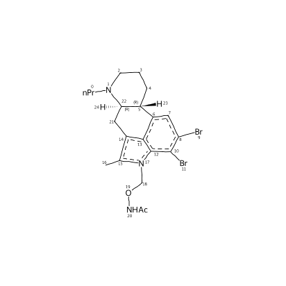 CCCN1CCC[C@@H]2c3cc(Br)c(Br)c4c3c(c(C)n4CONC(C)=O)C[C@H]21